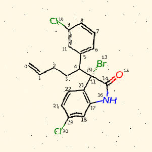 C=CCCC(c1cccc(Cl)c1)[C@@]1(Br)C(=O)Nc2cc(Cl)ccc21